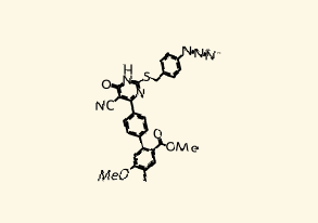 COC(=O)c1cc(C)c(OC)cc1-c1ccc(-c2nc(SCc3ccc(N=[N+]=[N-])cc3)[nH]c(=O)c2C#N)cc1